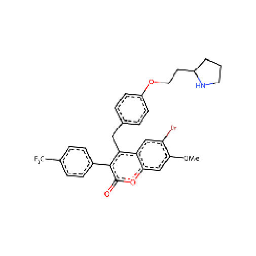 COc1cc2oc(=O)c(-c3ccc(C(F)(F)F)cc3)c(Cc3ccc(OCCC4CCCN4)cc3)c2cc1Br